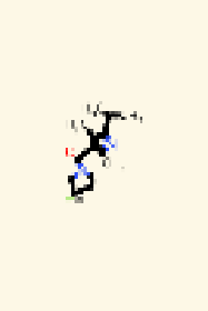 Cc1[nH]c(C(C)C)c(C)c1C(=O)N1CC[C@@H](F)C1